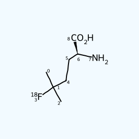 CC(C)([18F])CC[C@H](N)C(=O)O